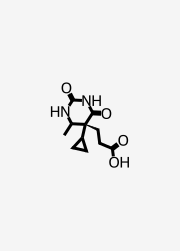 CC1NC(=O)NC(=O)[C@]1(CCC(=O)O)C1CC1